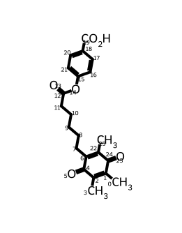 CC1=C(C)C(=O)C(CCCCCC(=O)Oc2ccc(C(=O)O)cc2)=C(C)C1=O